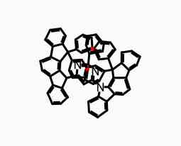 c1ccc(-c2nc(C3c4ccccc4-c4ccc5c(c43)C(c3ccccc3)(c3ccccc3)c3ccccc3-5)cc(-n3c4ccccc4c4ccc5c(c43)C(c3ccccc3)(c3ccccc3)c3ccccc3-5)n2)cc1